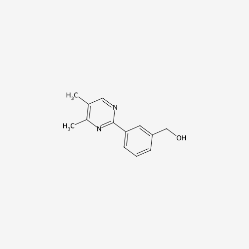 Cc1cnc(-c2cccc(CO)c2)nc1C